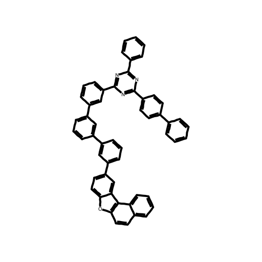 c1ccc(-c2ccc(-c3nc(-c4ccccc4)nc(-c4cccc(-c5cccc(-c6cccc(-c7ccc8oc9ccc%10ccccc%10c9c8c7)c6)c5)c4)n3)cc2)cc1